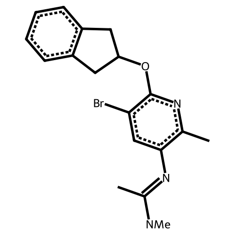 CNC(C)=Nc1cc(Br)c(OC2Cc3ccccc3C2)nc1C